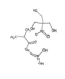 CC(C)C(=O)O.O=[N+]([O-])C(CO)(CO)CO.O=[PH](O)O